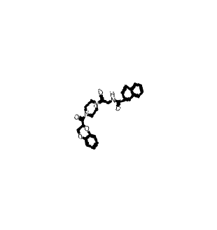 O=C(NCC(=O)N1CCN(C(=O)C2COc3ccccc3O2)CC1)c1ccc2ccccc2c1